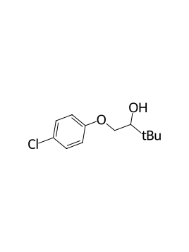 CC(C)(C)C(O)COc1ccc(Cl)cc1